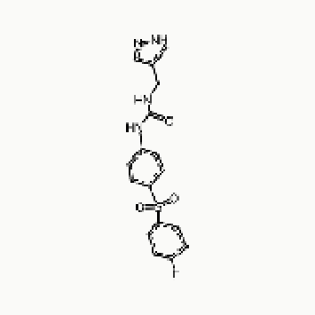 O=C(NCc1cn[nH]c1)Nc1ccc(S(=O)(=O)c2ccc(F)cc2)cc1